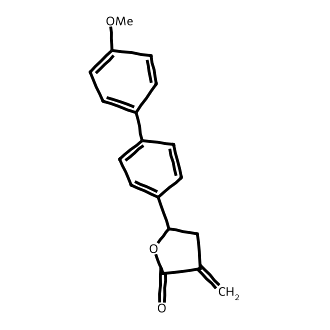 C=C1CC(c2ccc(-c3ccc(OC)cc3)cc2)OC1=O